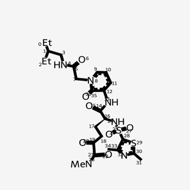 CCC(CC)CNC(=O)Cn1cccc(NC(=O)[C@H](CCC(=O)C(=O)NC)NS(=O)(=O)c2sc(C)nc2C)c1=O